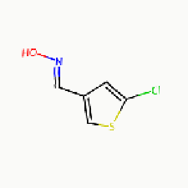 ON=Cc1csc(Cl)c1